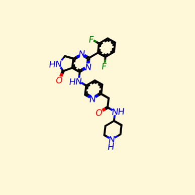 O=C(Cc1ccc(Nc2nc(-c3c(F)cccc3F)nc3c2C(=O)NC3)cn1)NC1CCNCC1